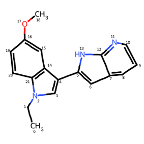 CCn1cc(-c2cc3cccnc3[nH]2)c2cc(OC)ccc21